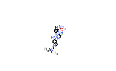 CN(C)CCN1CCc2cc(Nc3ncc(F)c(N[C@]45[C@@H]6C=C[C@@H]4[C@]65C(N)=O)n3)ccc21